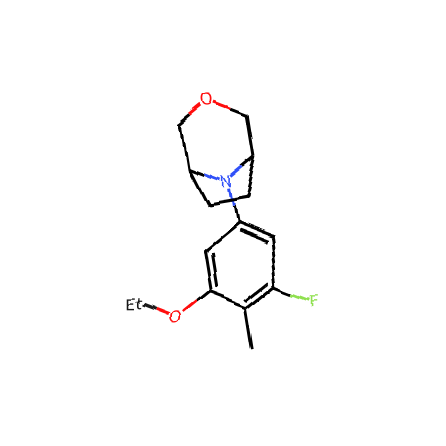 CCOc1cc(N2C3CCC2COC3)cc(F)c1C